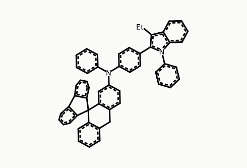 CCc1c(-c2ccc(N(c3ccccc3)c3ccc4c(c3)C3(c5ccccc5C4)c4ccccc4-c4ccccc43)cc2)n(-c2ccccc2)c2ccccc12